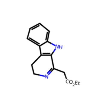 CCOC(=O)CC1=NCCc2c1[nH]c1ccccc21